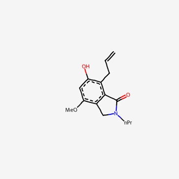 C=CCc1c(O)cc(OC)c2c1C(=O)N(CCC)C2